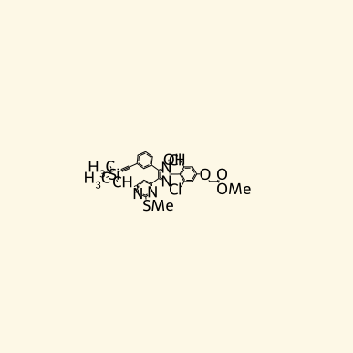 COC(=O)COc1cc(Cl)c(-c2nc(-c3ccnc(SC)n3)c(-c3cccc(C#C[Si](C)(C)C)c3)n2O)c(Cl)c1